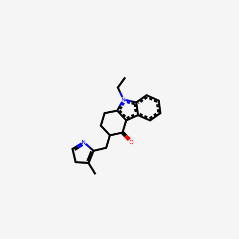 CCn1c2c(c3ccccc31)C(=O)C(CC1=C(C)CC=N1)CC2